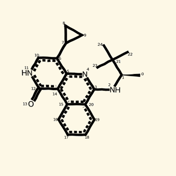 C[C@@H](Nc1nc2c(C3CC3)c[nH]c(=O)c2c2ccccc12)C(C)(C)C